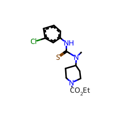 CCOC(=O)N1CCC(N(C)C(=S)Nc2cccc(Cl)c2)CC1